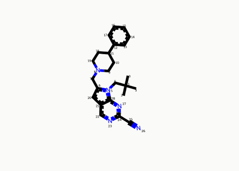 CC(C)(C)Cn1c(CN2CCC(c3ccccc3)CC2)cc2cnc(C#N)nc21